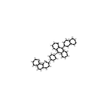 c1ccc2cc(-c3c4ccccc4c(-c4ccc(-c5ccc6ccc7cccnc7c6n5)cc4)c4ccccc34)ccc2c1